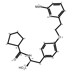 CNc1cccc(CCOc2ccc(C[C@H](NC(=O)C3CCCC3)C(=O)O)cc2)n1